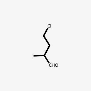 O=CC(I)CCCl